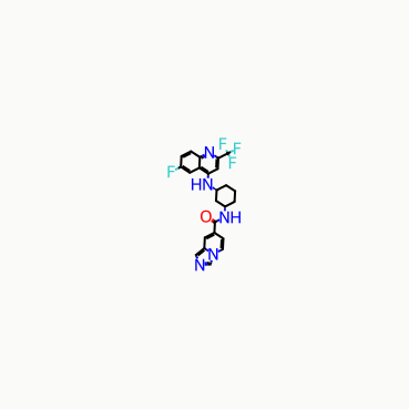 O=C(N[C@@H]1CCC[C@H](Nc2cc(C(F)(F)F)nc3ccc(F)cc23)C1)c1ccn2cncc2c1